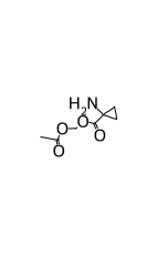 CC(=O)OCOC(=O)C1(N)CC1